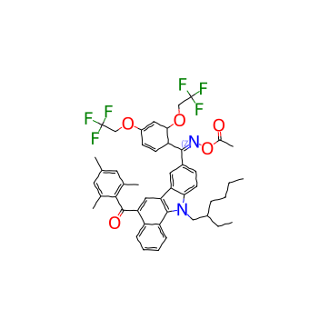 CCCCC(CC)Cn1c2ccc(/C(=N\OC(C)=O)C3C=CC(OCC(F)(F)F)=CC3OCC(F)(F)F)cc2c2cc(C(=O)c3c(C)cc(C)cc3C)c3ccccc3c21